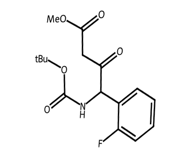 COC(=O)CC(=O)C(NC(=O)OC(C)(C)C)c1ccccc1F